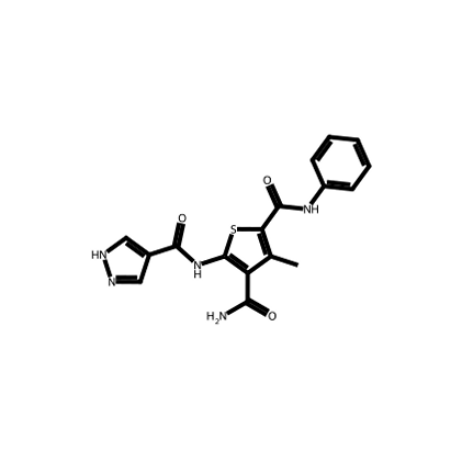 Cc1c(C(=O)Nc2ccccc2)sc(NC(=O)c2cn[nH]c2)c1C(N)=O